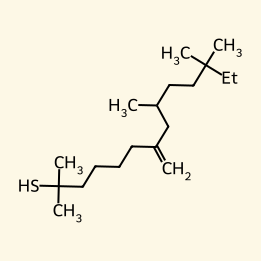 C=C(CCCCC(C)(C)S)CC(C)CCC(C)(C)CC